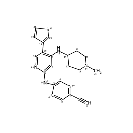 C#Cc1cnc(Nc2cc(NC3CCN(C)CC3)c(-c3ccsc3)cn2)cn1